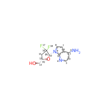 Nc1ccnc2c1ccn2[C@@H]1O[C@H](CO)CC1(F)F